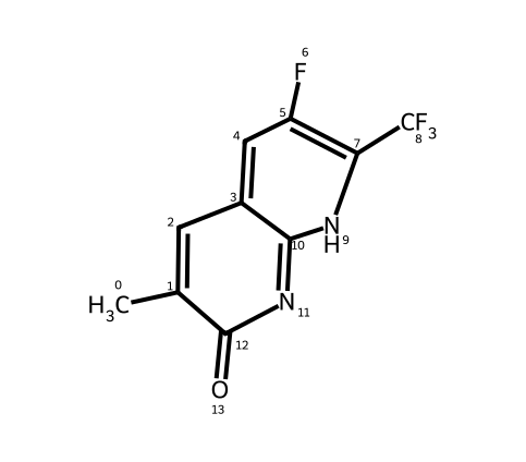 Cc1cc2cc(F)c(C(F)(F)F)[nH]c-2nc1=O